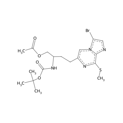 CSc1nc(CCC(COC(C)=O)NC(=O)OC(C)(C)C)cn2c(Br)cnc12